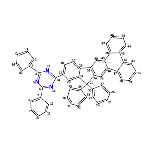 c1ccc(-c2nc(-c3ccccc3)nc(-c3ccc4c(c3)C(c3ccccc3)(c3ccccc3)c3cc5c6ccccc6c6ccccc6c5cc3-4)n2)cc1